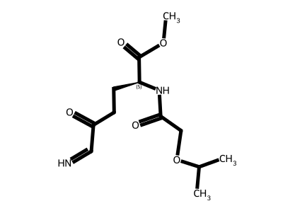 COC(=O)[C@H](CCC(=O)C=N)NC(=O)COC(C)C